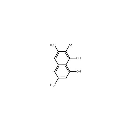 CC(=O)c1c(C)cc2cc(C)cc(O)c2c1O